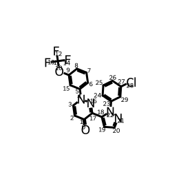 O=c1ccn(-c2cccc(OC(F)(F)F)c2)nc1-c1ccnn1-c1cccc(Cl)c1